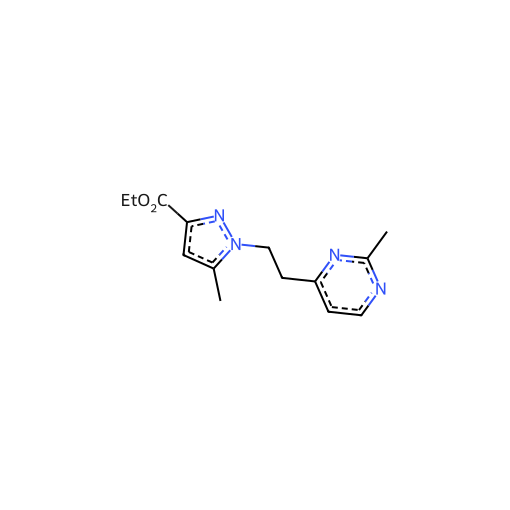 CCOC(=O)c1cc(C)n(CCc2ccnc(C)n2)n1